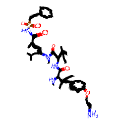 CNC(C(=O)NC(C(=O)N(C)C(/C=C(\C)C(=O)NS(=O)(=O)Cc1ccccc1)C(C)C)C(C)(C)C)C(C)(C)c1ccc(OCCN)cc1